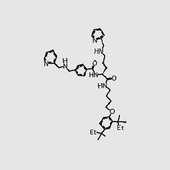 CCC(C)(C)c1ccc(OCCCCNC(=O)[C@H](CCCNCc2ccccn2)NC(=O)c2ccc(CNCc3ccccn3)cc2)c(C(C)(C)CC)c1